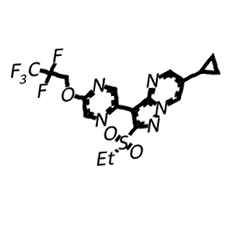 CCS(=O)(=O)c1nn2cc(C3CC3)cnc2c1-c1cnc(OCC(F)(F)C(F)(F)F)cn1